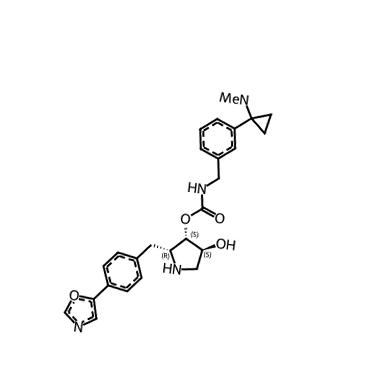 CNC1(c2cccc(CNC(=O)O[C@@H]3[C@@H](O)CN[C@@H]3Cc3ccc(-c4cnco4)cc3)c2)CC1